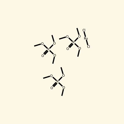 COP(=O)(OC)OC.COP(=O)(OC)OC.COP(=O)(OC)OC.[Cl][Ru][Cl]